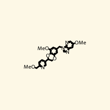 COCc1ccc(C2COc3cc(Cn4cnc5cc(OC)cnc54)cc(OC)c3O2)cn1